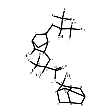 CC1C2CC(CC(O)(C(F)(F)F)C(F)(F)F)C(C2)C1CC(C)(C(=O)OC1(C)C2CC3CC(C2)CC1C3)C(F)(F)F